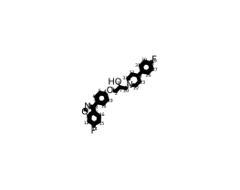 O[C@@H](COc1ccc(-c2noc3cc(F)ccc23)cc1)CN1CCC(c2ccc(F)cc2)CC1